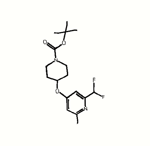 Cc1cc(OC2CCN(C(=O)OC(C)(C)C)CC2)cc(C(F)F)n1